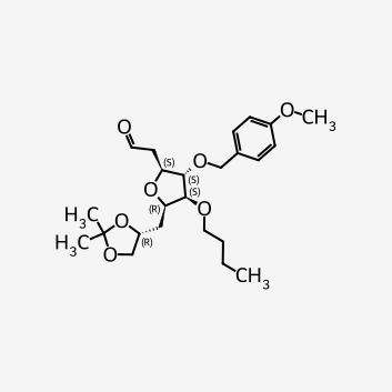 CCCCO[C@@H]1[C@@H](OCc2ccc(OC)cc2)[C@H](CC=O)O[C@@H]1C[C@@H]1COC(C)(C)O1